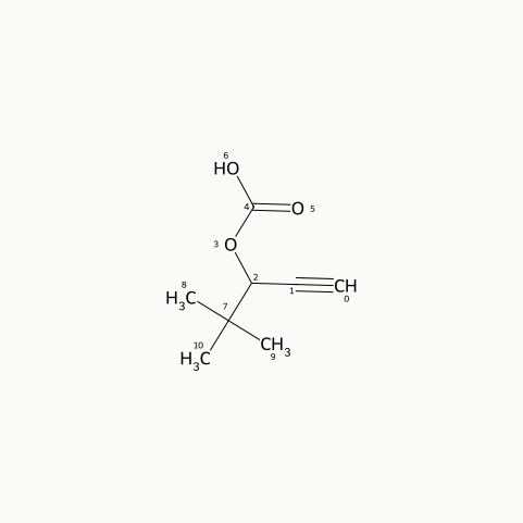 C#CC(OC(=O)O)C(C)(C)C